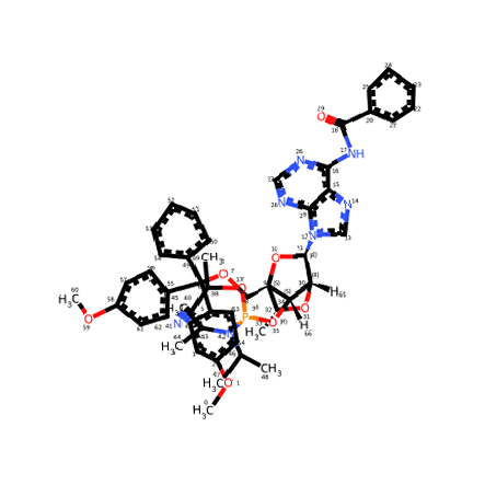 COc1ccc(C(OC[C@]23O[C@@H](n4cnc5c(NC(=O)c6ccccc6)ncnc54)[C@H](O[C@@H]2C)[C@@H]3OP(OC(C)C#N)N(C(C)C)C(C)C)(c2ccccc2)c2ccc(OC)cc2)cc1